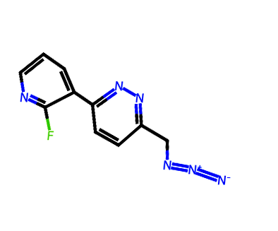 [N-]=[N+]=NCc1ccc(-c2cccnc2F)nn1